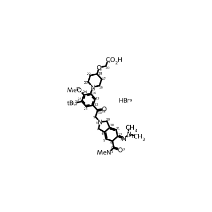 Br.CNC(=O)C1C=C2CN(CC(=O)c3cc(N4CCC(OCC(=O)O)CC4)c(OC)c(C(C)(C)C)c3)CC2=CC1=NN(C)C